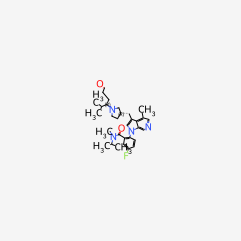 Cc1cncc2c1c(C[C@@H]1CCN([C@H](CCC=O)C(C)C)C1)cn2-c1ccc(F)cc1C(=O)N(C)C(C)C